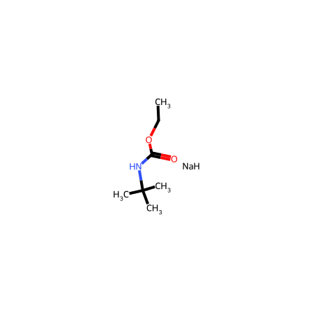 CCOC(=O)NC(C)(C)C.[NaH]